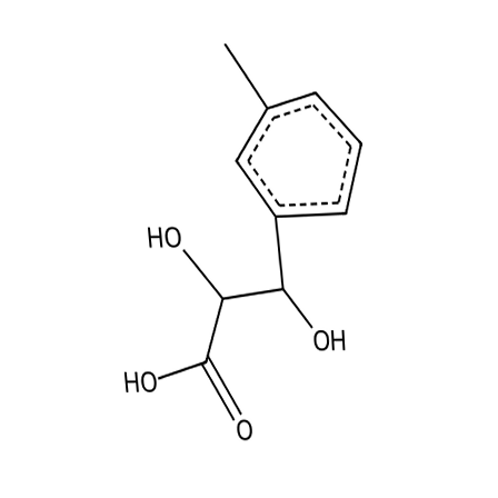 Cc1cccc(C(O)C(O)C(=O)O)c1